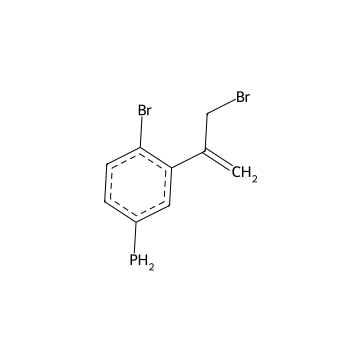 C=C(CBr)c1cc(P)ccc1Br